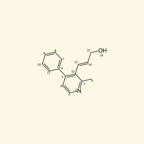 Cc1nccc(-c2ccccc2)c1C=CCO